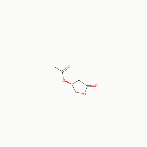 CC(=O)O[C@@H]1COC(=O)C1